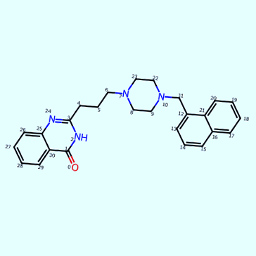 O=c1[nH]c(CCCN2CCN(Cc3cccc4ccccc34)CC2)nc2ccccc12